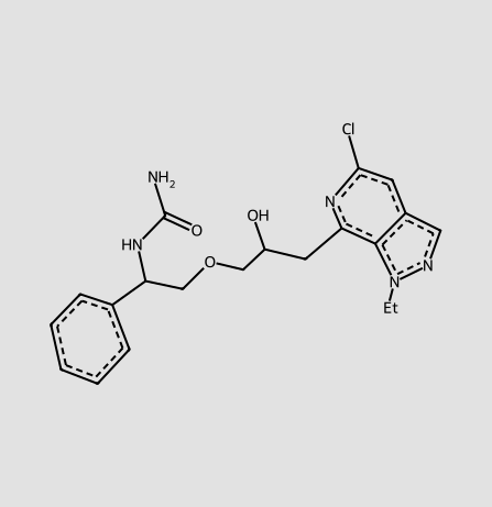 CCn1ncc2cc(Cl)nc(CC(O)COCC(NC(N)=O)c3ccccc3)c21